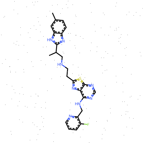 Cc1ccc2nc(C(C)CNCCc3nc4c(NCc5ncccc5F)ncnc4s3)[nH]c2c1